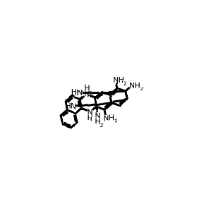 NC1=C2C=C3Nc4c5c6c7ccccc7c4NC3(N)C(N)=C2C=C(N6)C1(N)N5